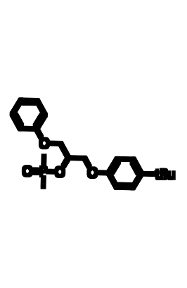 CC(C)(C)c1ccc(OCC(COc2ccccc2)OP(C)(C)=O)cc1